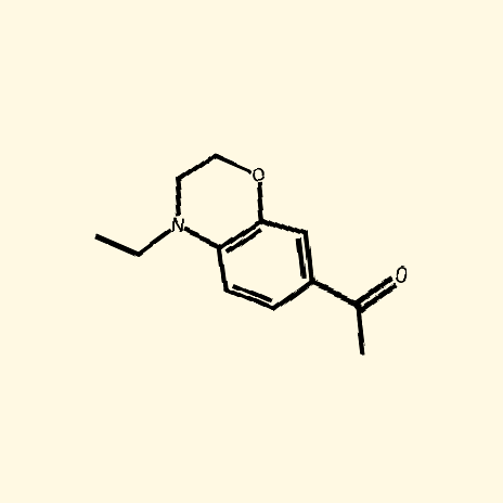 CCN1CCOc2cc(C(C)=O)ccc21